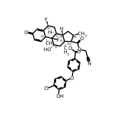 C[C@@H]1C[C@H]2[C@@H]3C[C@H](F)C4=CC(=O)C=C[C@]4(C)C3(F)[C@@H](O)C[C@]2(C)[C@]1(OC(=O)c1ccc(Oc2ccc(Cl)c(O)c2)cc1)C(=O)OCC#N